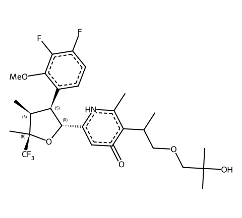 COc1c([C@H]2[C@H](c3cc(=O)c(C(C)COCC(C)(C)O)c(C)[nH]3)O[C@@](C)(C(F)(F)F)[C@H]2C)ccc(F)c1F